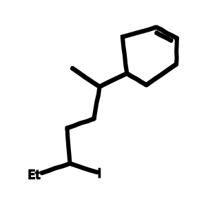 CCC(I)CCC(C)C1CC=CCC1